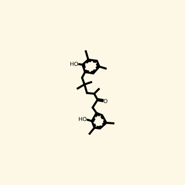 Cc1cc(C)c(O)c(CC(=O)C(C)CC(C)(C)Cc2cc(C)cc(C)c2O)c1